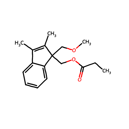 CCC(=O)OCC1(COC)C(C)=C(C)c2ccccc21